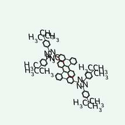 Cc1ccc2c(-c3ccccc3-c3ccc(-c4nc(-c5ccc(C(C)(C)C)cc5)nc(-c5ccc(C(C)(C)C)cc5)n4)cc3)c3ccccc3c(-c3ccccc3-c3ccc(-c4nc(-c5ccc(C(C)(C)C)cc5)nc(-c5ccc(C(C)(C)C)cc5)n4)cc3)c2c1